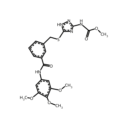 COC(=O)Nc1n[nH]c(SCc2cccc(C(=O)Nc3cc(OC)c(OC)c(OC)c3)c2)n1